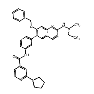 CCC(C)Nc1ncc2cc(-c3cccc(NC(=O)c4ccnc(N5CCCC5)c4)c3)c(OCc3ccccc3)cc2n1